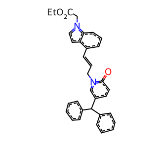 CCOC(=O)Cn1ccc2c(/C=C/Cn3cc(C(c4ccccc4)c4ccccc4)ccc3=O)cccc21